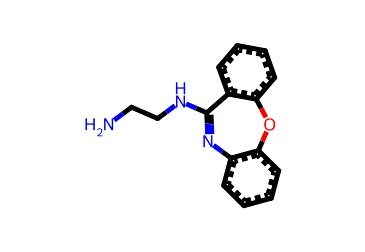 NCCNC1=Nc2ccccc2Oc2ccccc21